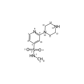 CNS(=O)(=O)c1ccnc(N2CCNCC2)c1